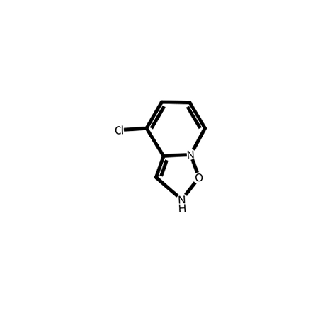 ClC1=CC=CN2ONC=C12